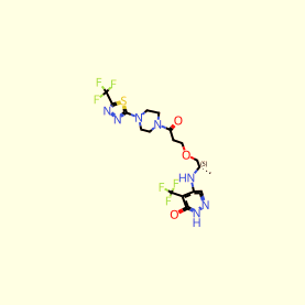 C[C@@H](COCCC(=O)N1CCN(c2nnc(C(F)(F)F)s2)CC1)Nc1cn[nH]c(=O)c1C(F)(F)F